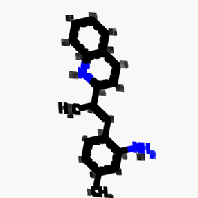 CC(=Cc1ccc(C)cc1N)c1ccc2ccccc2n1